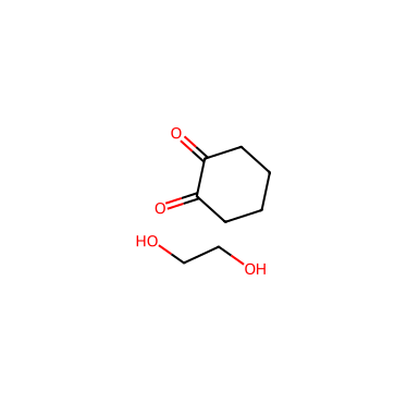 O=C1CCCCC1=O.OCCO